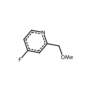 COCc1[c]c(F)ccn1